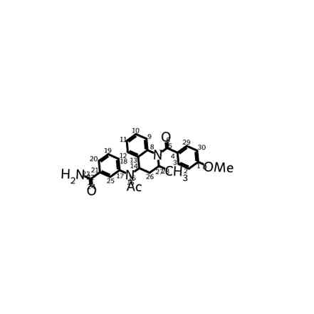 COc1ccc(C(=O)N2c3ccccc3C(N(C(C)=O)c3cccc(C(N)=O)c3)CC2C)cc1